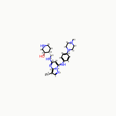 CC(C)c1cnn2c(Nc3ccc(N4CCN(C)CC4)cc3)cc(NC[C@H]3CCNC[C@@H]3O)nc12